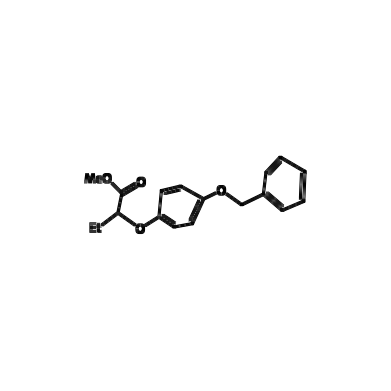 CCC(Oc1ccc(OCc2ccccc2)cc1)C(=O)OC